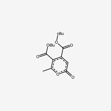 CCCCOC(=O)c1cc(=O)oc(C)c1C(=O)OCC(C)C